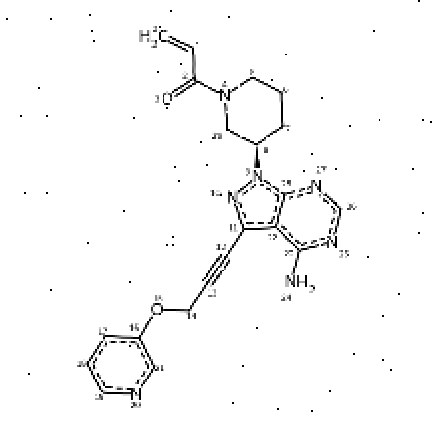 C=CC(=O)N1CCC[C@@H](n2nc(C#CCOc3cccnc3)c3c(N)ncnc32)C1